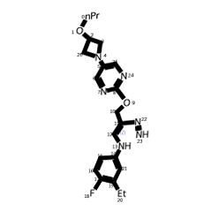 CCCOC1CN(c2cnc(OC/C(=C/Nc3ccc(F)c(CC)c3)N=N)nc2)C1